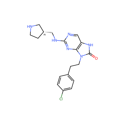 O=c1[nH]c2cnc(NC[C@@H]3CCNC3)nc2n1CCc1ccc(Cl)cc1